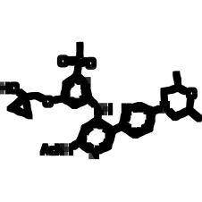 CC(=O)Nc1cc(Nc2cc(OCC3(O)CC3)cc(S(C)(=O)=O)n2)c(-c2ccc(N3CC(C)OC(C)C3)cn2)cn1